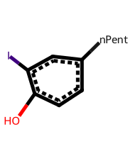 CCCCCc1ccc(O)c(I)c1